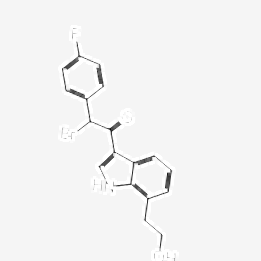 O=C(c1c[nH]c2c(CCO)cccc12)C(Br)c1ccc(F)cc1